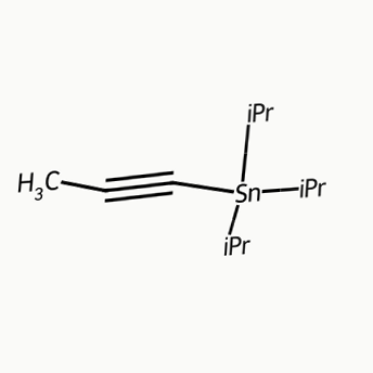 CC#[C][Sn]([CH](C)C)([CH](C)C)[CH](C)C